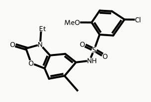 CCn1c(=O)oc2cc(C)c(NS(=O)(=O)c3cc(Cl)ccc3OC)cc21